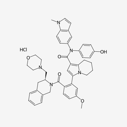 COc1ccc(C(=O)N2Cc3ccccc3C[C@H]2CN2CCOCC2)c(-c2cc(C(=O)N(c3ccc(O)cc3)c3ccc4c(ccn4C)c3)c3n2CCCC3)c1.Cl